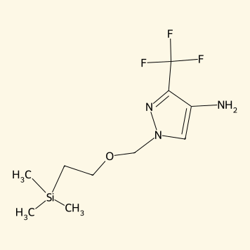 C[Si](C)(C)CCOCn1cc(N)c(C(F)(F)F)n1